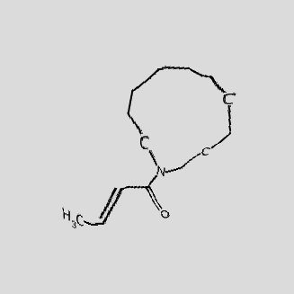 CC=CC(=O)N1CCCCCCCCCC1